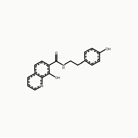 O=C(NCCc1ccc(O)cc1)c1ccc2cccnc2c1O